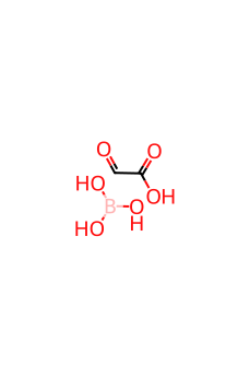 O=CC(=O)O.OB(O)O